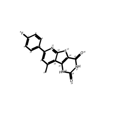 Cc1cc(-c2ccc(F)cc2)nc2sc3c(=O)[nH]c(=O)[nH]c3c12